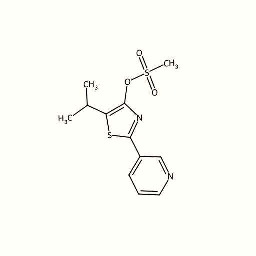 CC(C)c1sc(-c2cccnc2)nc1OS(C)(=O)=O